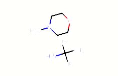 CC(C)C(C)(N)C(C)C.CN1CCOCC1